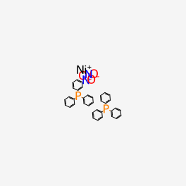 O=N[O-].O=[N][Ni+].c1ccc(P(c2ccccc2)c2ccccc2)cc1.c1ccc(P(c2ccccc2)c2ccccc2)cc1